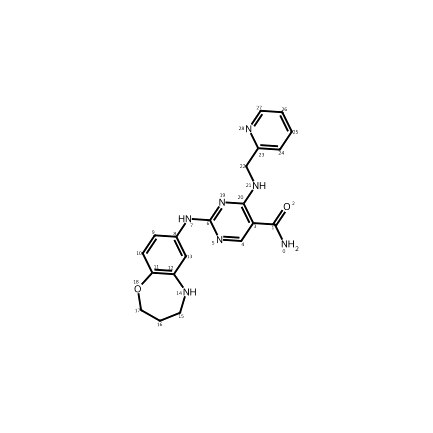 NC(=O)c1cnc(Nc2ccc3c(c2)NCCCO3)nc1NCc1ccccn1